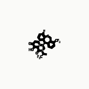 C[C@@H](N1CN([C@@H]2c3cccc(C(F)(F)F)c3CSc3c(F)cccc32)n2ccc(=O)c(O)c2C1=O)C(F)(F)F